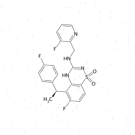 C[C@@H](c1ccc(F)cc1)c1c(F)ccc2c1NC(NCc1ncccc1F)=NS2(=O)=O